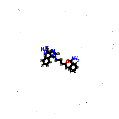 NC(=O)c1ccccc1CCCCCn1cnc2c(N)nc3ccccc3c21